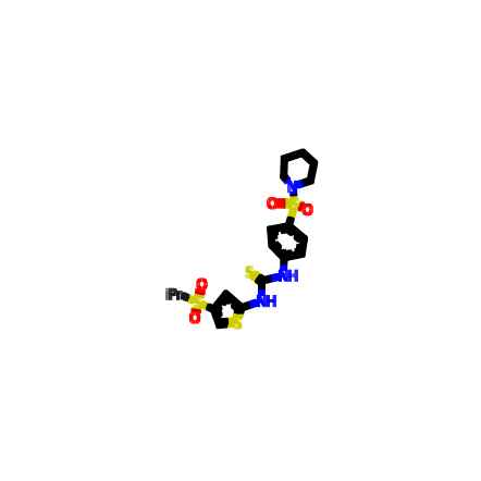 CC(C)S(=O)(=O)c1csc(NC(=S)Nc2ccc(S(=O)(=O)N3CCCCC3)cc2)c1